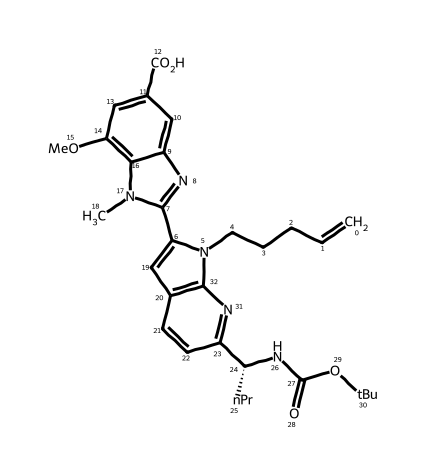 C=CCCCn1c(-c2nc3cc(C(=O)O)cc(OC)c3n2C)cc2ccc([C@@H](CCC)NC(=O)OC(C)(C)C)nc21